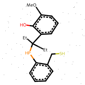 CCC(CC)(Pc1ccccc1CS)c1cccc(OC)c1O